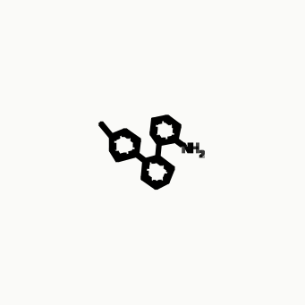 Cc1ccc(-c2ccccc2-c2ccccc2N)cc1